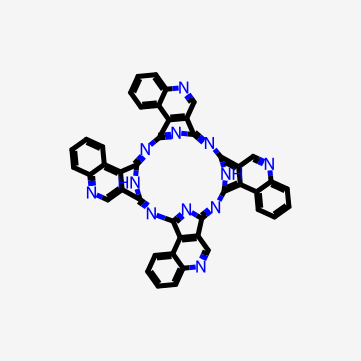 c1ccc2c3c(cnc2c1)-c1nc-3nc2[nH]c(nc3nc(nc4[nH]c(n1)c1c5ccccc5ncc41)-c1cnc4ccccc4c1-3)c1c3ccccc3ncc21